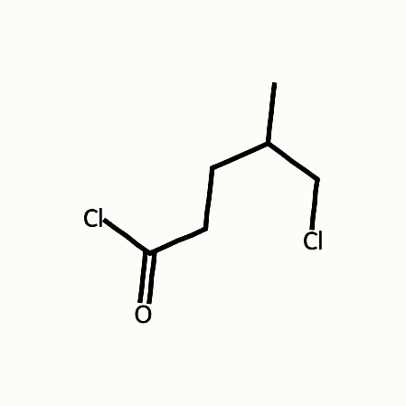 CC(CCl)CCC(=O)Cl